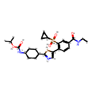 CCNC(=O)c1ccc(-c2cnc(C3CCC(NC(=O)OC(C)C)CC3)s2)c(S(=O)(=O)C2CC2)c1